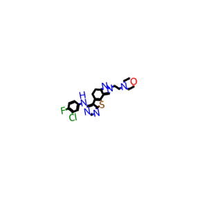 Fc1ccc(Nc2ncnc3sc4c(c23)CCc2nn(CCN3CCOCC3)cc2-4)cc1Cl